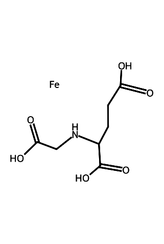 O=C(O)CCC(NCC(=O)O)C(=O)O.[Fe]